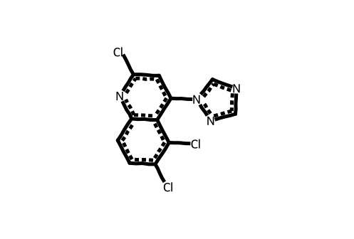 Clc1cc(-n2cncn2)c2c(Cl)c(Cl)ccc2n1